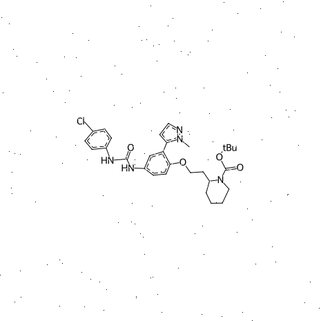 Cn1nccc1-c1cc(NC(=O)Nc2ccc(Cl)cc2)ccc1OCCC1CCCCN1C(=O)OC(C)(C)C